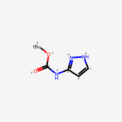 CC(C)(C)OC(=O)Nc1c[c][nH]n1